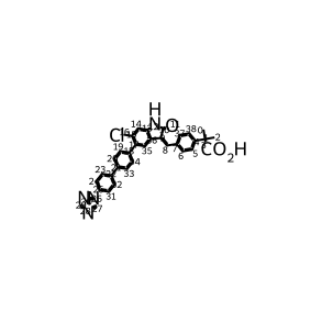 CC(C)(C(=O)O)c1ccc(C=C2C(=O)Nc3cc(Cl)c(-c4ccc(-c5ccc(-n6cncn6)cc5)cc4)cc32)cc1